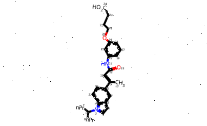 CCCC(CCC)n1ccc2cc(/C(C)=C/C(=O)Nc3cccc(OCCCC(=O)O)c3)ccc21